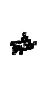 CCc1nc(Cl)c(C(=O)NCc2ccc(Cl)c(Oc3cc(Cl)cc(C=CC#N)c3)c2F)[nH]1